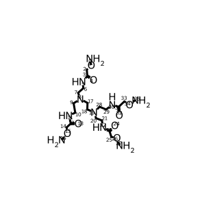 NOCC(=O)NCCN(CCNC(=O)CON)CCN(CCNC(=O)CON)CCNC(=O)CON